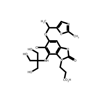 Cc1ncc(C(C)Oc2cc3oc(=O)n(CCC(=O)O)c3c(NC(CO)(CO)CO)c2Cl)o1